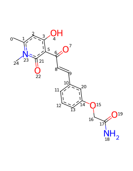 Cc1cc(O)c(C(=O)C=Cc2cccc(OCC(N)=O)c2)c(=O)n1C